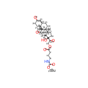 CC(C)(C)OC(=O)NCCCC(=O)OCC(=O)[C@@]1(O)CC[C@H]2[C@@H]3CCC4=CC(=O)CC[C@]4(C)[C@H]3C(=O)C[C@@]21C